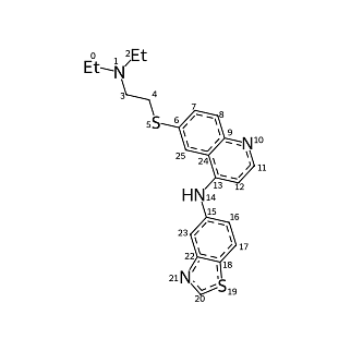 CCN(CC)CCSc1ccc2nccc(Nc3ccc4scnc4c3)c2c1